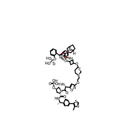 Cc1ncsc1-c1ccc([C@H](C)NC(=O)[C@@H]2C[C@@H](OP(=O)(O)O)CN2C(=O)[C@@H](c2cc(OCCN3CCC(OC4CC(Oc5cc(N6C7CC[C@@H]6CN(c6cc(-c8ccccc8OP(=O)(O)O)nnc6N)C7)ccn5)C4)CC3)no2)C(C)C)cc1